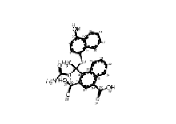 CC(OC(N)=O)(Sc1ccc(O)c2ccccc12)c1c(C(=O)O)cc(C(=O)O)c2ccccc12